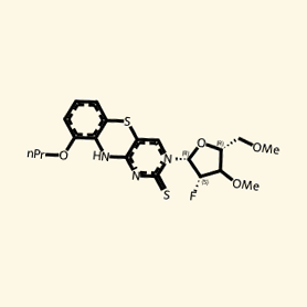 CCCOc1cccc2c1Nc1nc(=S)n([C@@H]3O[C@H](COC)C(OC)[C@@H]3F)cc1S2